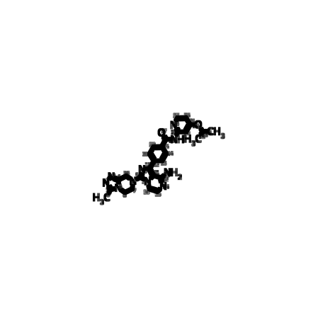 Cc1nnc2n1CCN(c1nc(-c3ccc(C(=O)Nc4cc(OC(C)C)ccn4)cc3)c3c(N)nccn13)C2